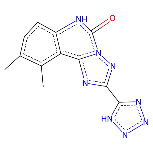 Cc1ccc2[nH]c(=O)n3nc(-c4nnn[nH]4)nc3c2c1C